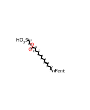 CCCCC/C=C/C/C=C/CCCCCCCC(=O)OCCS(=O)(=O)O